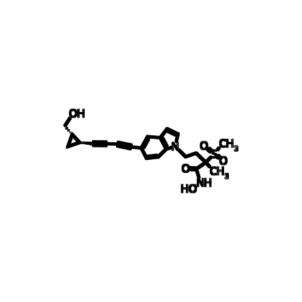 CC(CCn1ccc2cc(C#CC#C[C@H]3C[C@@H]3CO)ccc21)(C(=O)NO)S(C)(=O)=O